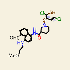 COCCCNc1ccc(NC(=O)C2CCCN(SC(/C=C/Cl)=C(/S)Cl)C2)c2cccc(C=O)c12